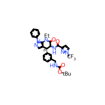 CCN1C(=O)[C@@H](NC(=O)c2ccn(C(F)(F)F)n2)[C@H](c2cccc(CNC(=O)OC(C)(C)C)c2)c2cnn(-c3ccccc3)c21